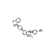 CC(C)c1ccc(CNc2cc(N3CCN(C(=O)c4ccccc4F)CC3)ccc2[N+](=O)[O-])cc1